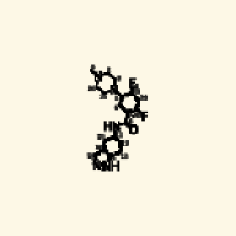 CN1CCN(c2cc(C(=O)Nc3ccc4[nH]ncc4c3)c(F)cc2F)CC1